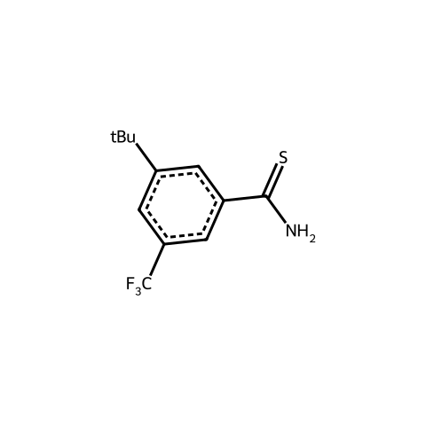 CC(C)(C)c1cc(C(N)=S)cc(C(F)(F)F)c1